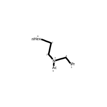 CCCCCCCCN(CC(C)C)C(C)=O